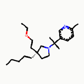 CCCCC[C@@]1(CCOCC)CCN(C(C)(C)c2ccc(C)nc2)C1